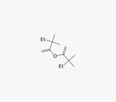 C=C(OC(=C)C(C)(C)CC)C(C)(C)CC